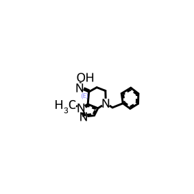 Cn1ncc2c1/C(=N/O)CCN2Cc1ccccc1